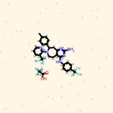 Cc1ccc(C2Cc3nc(N)nc(Nc4ccc(C(F)(F)F)cc4)c3CCN2c2ncccc2C(F)(F)F)cc1.O=C(O)C(F)(F)F